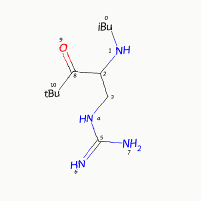 CCC(C)NC(CNC(=N)N)C(=O)C(C)(C)C